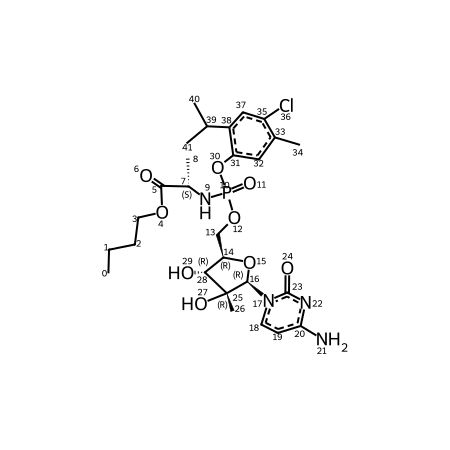 CCCCOC(=O)[C@H](C)NP(=O)(OC[C@H]1O[C@@H](n2ccc(N)nc2=O)[C@](C)(O)[C@@H]1O)Oc1cc(C)c(Cl)cc1C(C)C